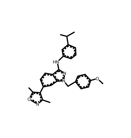 COc1ccc(Cn2nc(Nc3cccc(C(C)C)c3)c3ccc(-c4c(C)noc4C)cc32)cc1